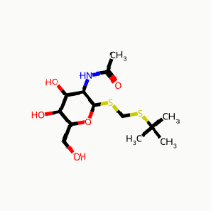 CC(=O)NC1C(SCSC(C)(C)C)OC(CO)C(O)C1O